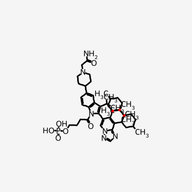 CC1CCC(C(C)C)C(c2c(-c3c(C(C)C)c4cc(C5CCN(CC(N)=O)CC5)ccc4n3C(=O)CCCOP(=O)(O)O)cn3ncnc3c2C2CC(C)CCC2C(C)C)C1